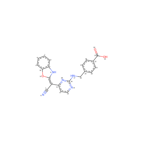 N#C/C(=C1/Nc2ccccc2O1)c1ccnc(NCc2ccc(C(=O)O)cc2)n1